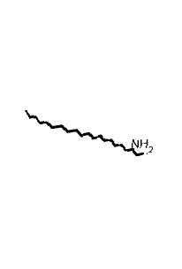 [CH2]CC(N)CCCCCCCCCCCCCCCCCC